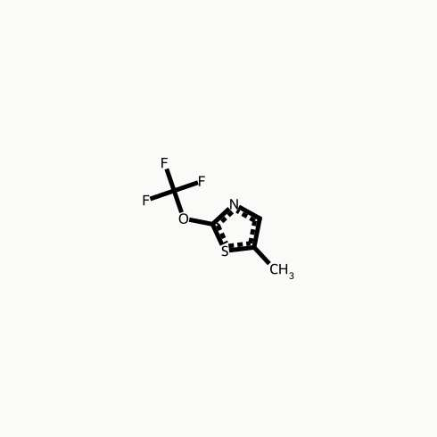 Cc1cnc(OC(F)(F)F)s1